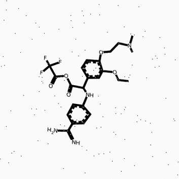 CCOc1cc(C(Nc2ccc(C(=N)N)cc2)C(=O)OC(=O)C(F)(F)F)ccc1OCCN(C)C